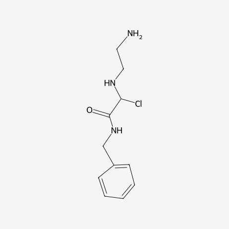 NCCNC(Cl)C(=O)NCc1ccccc1